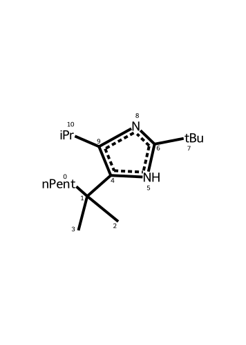 CCCCCC(C)(C)c1[nH]c(C(C)(C)C)nc1C(C)C